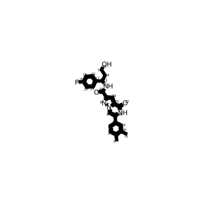 Cc1ccc(-c2cn3nc(C(=O)NC(CCO)c4ccc(F)cc4)cc3c(=O)[nH]2)cc1C